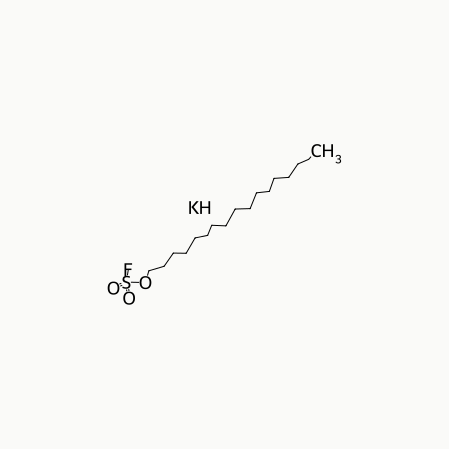 CCCCCCCCCCCCCCCCCOS(=O)(=O)F.[KH]